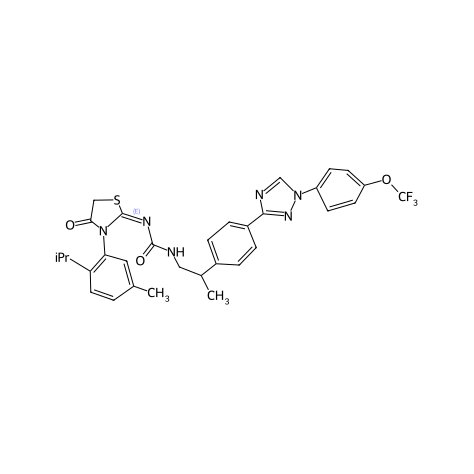 Cc1ccc(C(C)C)c(N2C(=O)CS/C2=N/C(=O)NCC(C)c2ccc(-c3ncn(-c4ccc(OC(F)(F)F)cc4)n3)cc2)c1